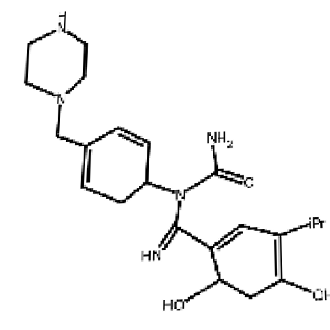 CC(C)C1=C(O)CC(O)C(C(=N)N(C(N)=O)C2C=CC(CN3CCNCC3)=CC2)=C1